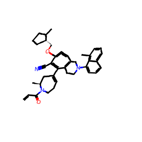 C=CC(=O)N1CCC=C(C2=C(C#N)C(OC[C@@H]3CCCC3C)=C=CC3=C2CCN(c2cccc4cccc(C)c24)C3)C[C@@H]1C